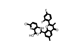 Cc1cc(C(C)Nc2ccc(Cl)nc2C(=O)O)c2oc(-c3ccc(F)cc3F)c(C)c(=O)c2c1